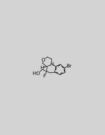 OC[C@@]1(F)Cc2ccc(Br)cc2N2CCOC[C@H]21